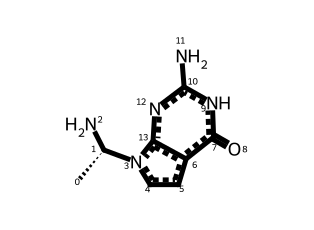 C[C@H](N)n1ccc2c(=O)[nH]c(N)nc21